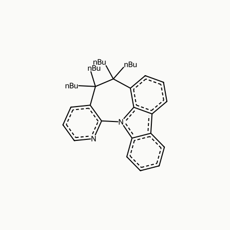 CCCCC1(CCCC)c2cccnc2-n2c3ccccc3c3cccc(c32)C1(CCCC)CCCC